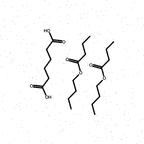 CCCCOC(=O)CCC.CCCCOC(=O)CCC.O=C(O)CCCCC(=O)O